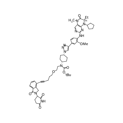 CC[C@@H]1C(=O)N(C)c2cnc(Nc3ccc(-c4cn([C@H]5CC[C@@H](N(CCOCCCC#Cc6cccc7c6CN(C6CCC(=O)NC6=O)C7=O)C(=O)OC(C)(C)C)CC5)nn4)cc3OC)nc2N1C1CCCC1